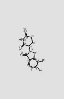 Cc1ccc2c(c1F)CN(C1CCC(=O)NC1=O)C2=O